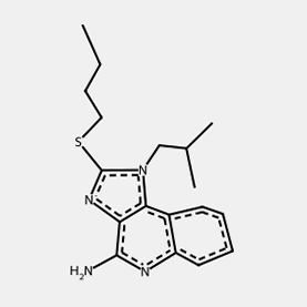 CCCCSc1nc2c(N)nc3ccccc3c2n1CC(C)C